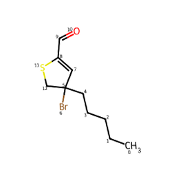 CCCCCC1(Br)C=C(C=O)SC1